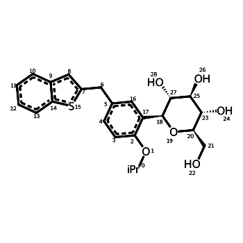 CC(C)Oc1ccc(Cc2cc3ccccc3s2)cc1[C@@H]1O[C@H](CO)[C@@H](O)[C@H](O)[C@H]1O